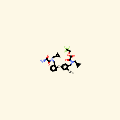 Cc1ccccc1CN(CC1CC1)C(=O)C(=O)OCC(F)(F)F.Cc1ccccc1CN(CC1CC1)C(=O)C(N)=O